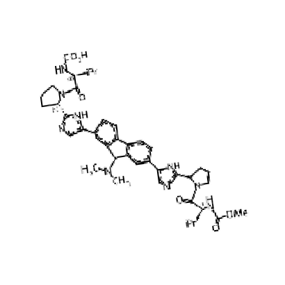 COC(=O)N[C@H](C(=O)N1CCCC1c1ncc(-c2ccc3c(c2)C(N(C)C)c2cc(-c4cnc([C@@H]5CCCN5C(=O)[C@@H](NC(=O)O)C(C)C)[nH]4)ccc2-3)[nH]1)C(C)C